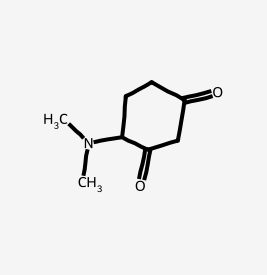 CN(C)C1CCC(=O)CC1=O